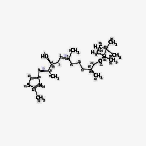 C/C(=C/C[C@H](O)/C(C)=C/c1csc(C)n1)CCC[C@H](C)CO[Si](C)(C)C(C)(C)C